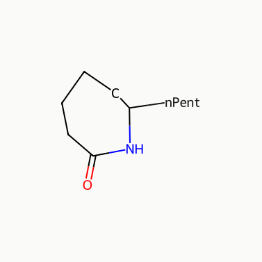 CCCCCC1CCCCC(=O)N1